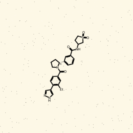 CCc1cc(C(=O)N2CCC[C@@H]2c2cccc(C(=O)NC3CCS(=O)(=O)C3)c2)ccc1-c1cn[nH]c1